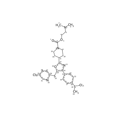 CN(C)CCOC(=O)N1CCC(c2nc(-c3ccc([S+](C)[O-])cc3)c(Sc3ccc(Cl)cn3)o2)CC1